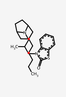 CCCCCC1CC2CCC(C1)N2CC(C)Cn1c(=O)sc2ccccc21